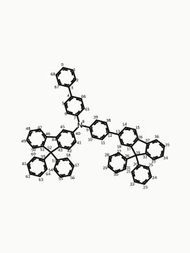 c1ccc(-c2ccc(N(c3ccc(-c4ccc5c(c4)C(c4ccccc4)(c4ccccc4)c4ccccc4-5)cc3)c3ccc4c(c3)-c3ccccc3C4(c3ccccc3)c3ccccc3)cc2)cc1